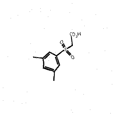 Cc1cc(C)cc(S(=O)(=O)CC(=O)O)c1